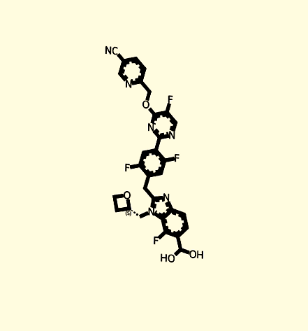 N#Cc1ccc(COc2nc(-c3cc(F)c(Cc4nc5ccc(C(O)O)c(F)c5n4C[C@@H]4CCO4)cc3F)ncc2F)nc1